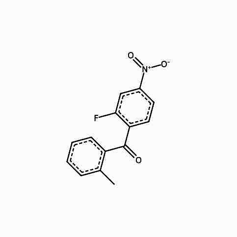 Cc1ccccc1C(=O)c1ccc([N+](=O)[O-])cc1F